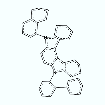 c1ccc(-c2ccccc2-n2c3ccccc3c3c4c5ccccc5n(-c5cccc6ccccc56)c4ccc32)cc1